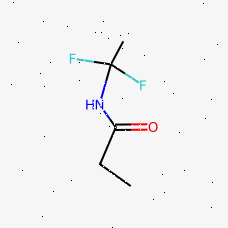 CCC(=O)NC(C)(F)F